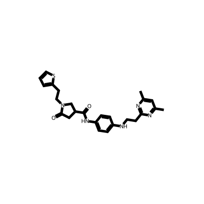 Cc1cc(C)nc(CCNc2ccc(NC(=O)C3CC(=O)N(CCc4cccs4)C3)cc2)n1